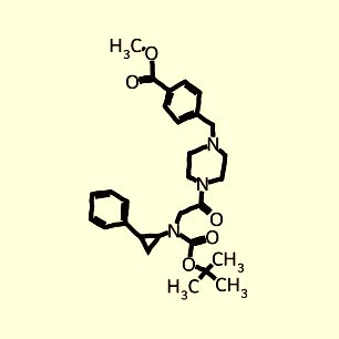 COC(=O)c1ccc(CN2CCN(C(=O)CN(C(=O)OC(C)(C)C)C3CC3c3ccccc3)CC2)cc1